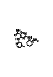 Cc1ccnc(Nc2nc(N[C@@H]3CCCC[C@@H]3N)ncc2C(N)=O)c1